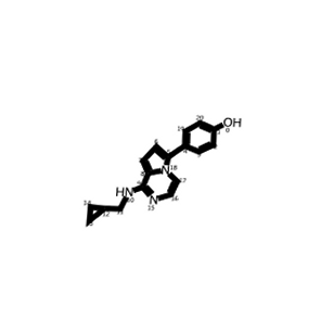 Oc1ccc(-c2ccc3c(NCC4CC4)nccn23)cc1